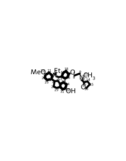 CCN(Cc1ccc(OCCN(C)CC2CCCO2)cc1)c1cc(OC)ccc1C1CCc2cc(O)ccc2C1